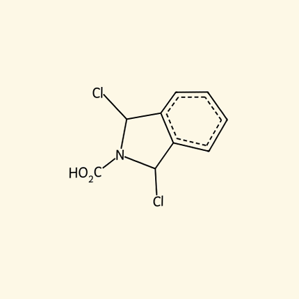 O=C(O)N1C(Cl)c2ccccc2C1Cl